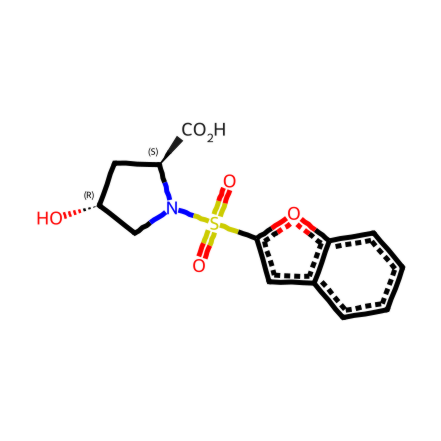 O=C(O)[C@@H]1C[C@@H](O)CN1S(=O)(=O)c1cc2ccccc2o1